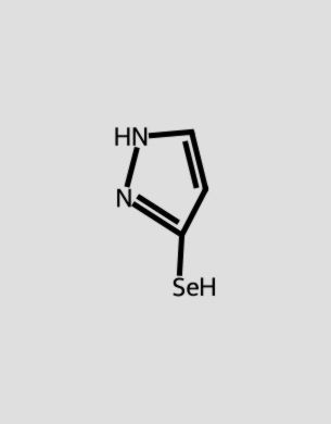 [SeH]c1cc[nH]n1